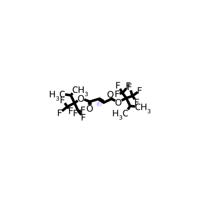 CC(C)C(OC(=O)/C=C/C(=O)OC(C(C)C)(C(F)(F)F)C(F)(F)F)(C(F)(F)F)C(F)(F)F